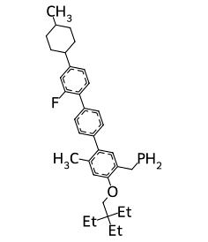 CCC(CC)(CC)COc1cc(C)c(-c2ccc(-c3ccc(C4CCC(C)CC4)cc3F)cc2)cc1CP